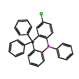 Clc1ccc2c(c1)[Si](c1ccccc1)(c1ccccc1)c1ccccc1P2c1ccccc1